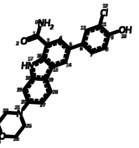 NC(=O)c1cc(-c2ccc(O)c(Cl)c2)cc2c1[nH]c1cc(N3CCOCC3)ccc12